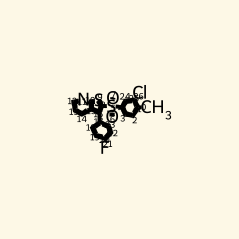 Cc1ccc(S(=O)(=O)c2sc3ncccc3c2-c2ccc(F)cc2)cc1Cl